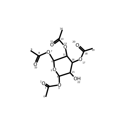 CC(=O)OC1OC(OC(C)=O)C(OC(C)=O)C(OC(C)=O)C1O